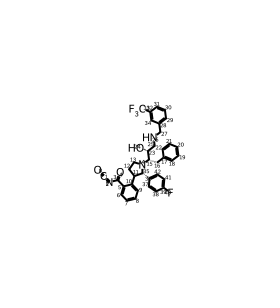 O=C=NC(=O)c1ccccc1C1CCN([C@@H](Cc2ccccc2)[C@H](O)CNCc2cccc(C(F)(F)F)c2)[C@@H]1c1ccc(F)cc1